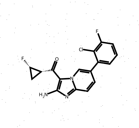 Nc1nc2ccc(-c3cccc(F)c3Cl)cn2c1C(=O)[C@@H]1C[C@@H]1F